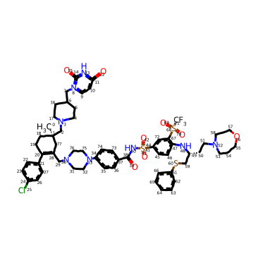 C[C@@]1(CN2CCC(Cn3ccc(=O)[nH]c3=O)CC2)CCC(c2ccc(Cl)cc2)=C(CN2CCN(c3ccc(C(=O)NS(=O)(=O)c4ccc(N[C@H](CCN5CCCOCC5)CSc5ccccc5)c(S(=O)(=O)C(F)(F)F)c4)cc3)CC2)C1